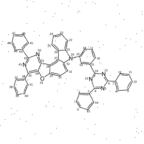 c1ccc(-c2nc(-c3ccccc3)nc(-c3cccc(-n4c5ccccc5c5c6c(ccc54)oc4c(-c5ccccc5)nc(-c5ccccc5)nc46)c3)n2)cc1